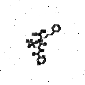 CS(=O)(=O)C[C@@H](NC(=O)c1cnccn1)C(=O)N[C@@H](CCCc1ccccc1)B(O)O